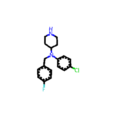 Fc1ccc(CN(c2ccc(Cl)cc2)C2CCNCC2)cc1